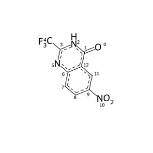 O=c1[nH]c(C(F)(F)F)nc2ccc([N+](=O)[O-])cc12